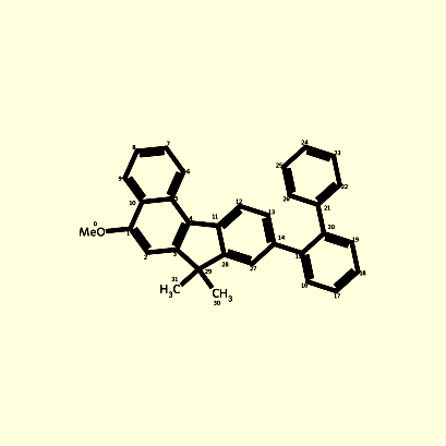 COc1cc2c(c3ccccc13)-c1ccc(-c3ccccc3-c3ccccc3)cc1C2(C)C